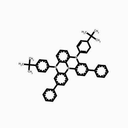 CC(C)(C)c1ccc(N2c3cc(-c4ccccc4)ccc3B3c4ccc(-c5ccccc5)cc4N(C4=CCC(C(C)(C)C)C=C4)c4cccc2c43)cc1